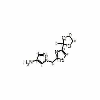 CC1(c2csc(Cn3cc(N)cn3)n2)OCCO1